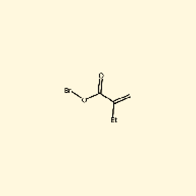 C=C(CC)C(=O)OBr